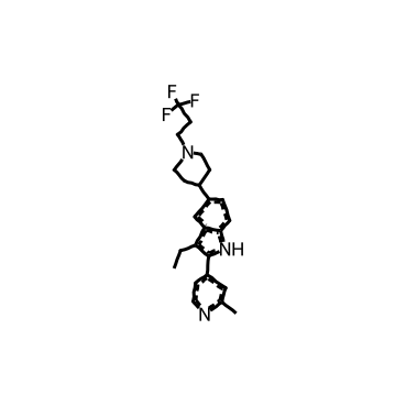 CCc1c(-c2ccnc(C)c2)[nH]c2ccc(C3CCN(CCC(F)(F)F)CC3)cc12